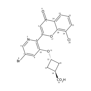 O=c1cc(-c2ncc(Br)cc2O[C@H]2C[C@H](C(=O)O)C2)oc2c(Cl)cccc12